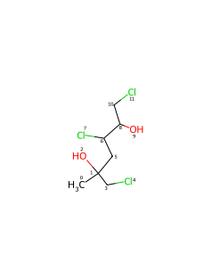 CC(O)(CCl)CC(Cl)C(O)CCl